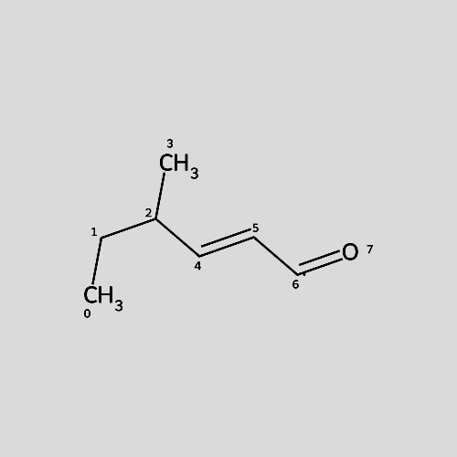 CCC(C)C=C[C]=O